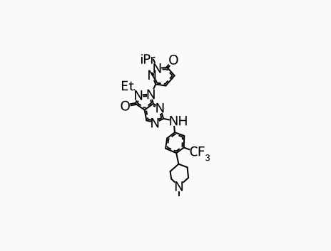 CCn1c(=O)c2cnc(Nc3ccc(C4CCN(C)CC4)c(C(F)(F)F)c3)nc2n1-c1ccc(=O)n(C(C)C)n1